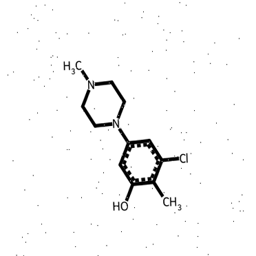 Cc1c(O)cc(N2CCN(C)CC2)cc1Cl